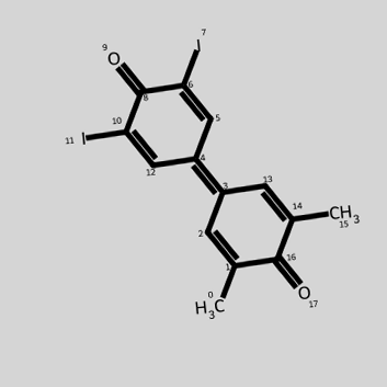 CC1=CC(=C2C=C(I)C(=O)C(I)=C2)C=C(C)C1=O